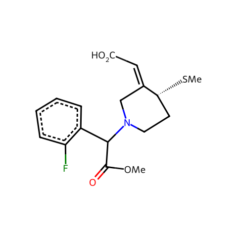 COC(=O)C(c1ccccc1F)N1CC[C@@H](SC)/C(=C/C(=O)O)C1